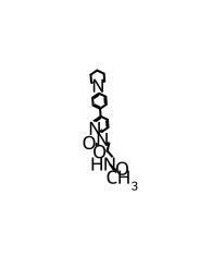 CC(=O)NCC1CN(c2ccc(-c3ccc(N4CCCCC4)cc3)cn2)C(=O)O1